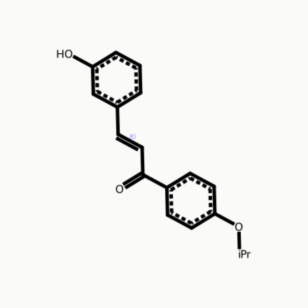 CC(C)Oc1ccc(C(=O)/C=C/c2cccc(O)c2)cc1